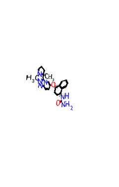 CN1CCC[C@@]1(C)c1nnc2ccc(O[C@@H]3CC[C@H](NC(N)=O)c4ccccc43)cn12